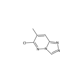 Cc1cc2nncn2nc1Cl